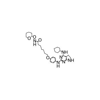 O=C(CCCCCCOc1ccc(Nc2nc3c(c(NC4CCCCC4)n2)CCN3)cc1)NOC1CCCCO1